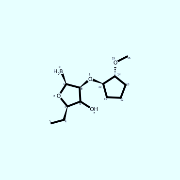 B[C@@H]1O[C@H](CC)C(O)[C@@H]1O[C@@H]1CCC[C@H]1OC